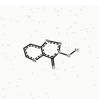 CCOn1nnc2cccnc2c1=O